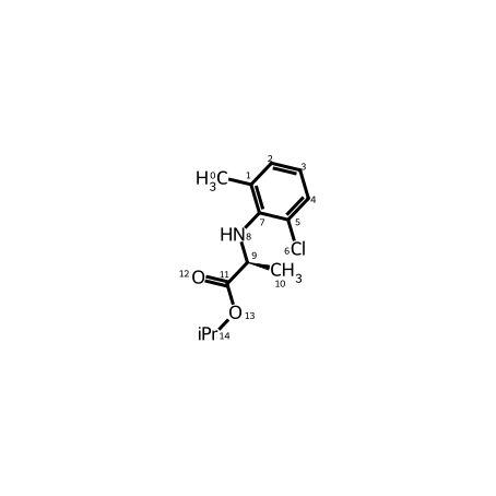 Cc1cccc(Cl)c1N[C@@H](C)C(=O)OC(C)C